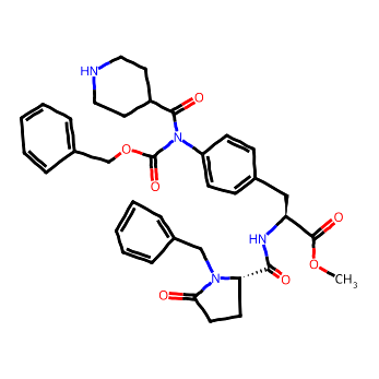 COC(=O)[C@H](Cc1ccc(N(C(=O)OCc2ccccc2)C(=O)C2CCNCC2)cc1)NC(=O)[C@@H]1CCC(=O)N1Cc1ccccc1